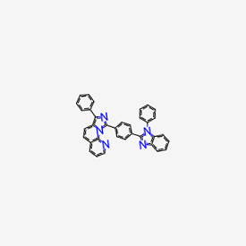 c1ccc(-c2nc(-c3ccc(-c4nc5ccccc5n4-c4ccccc4)cc3)n3c2ccc2cccnc23)cc1